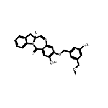 COc1cc2c(cc1OCc1cc(COI)cc([N+](=O)[O-])c1)N=C[C@@H]1Cc3ccccc3N1C2=O